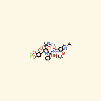 COc1cc(C(=O)NC[C@@](O)(c2ccccc2)c2cc3c(c(-c4ccc5c(c4Cl)OC(F)(F)O5)n2)OC[C@]3(C)C(N)=O)cc2cn(C3CC3)nc12